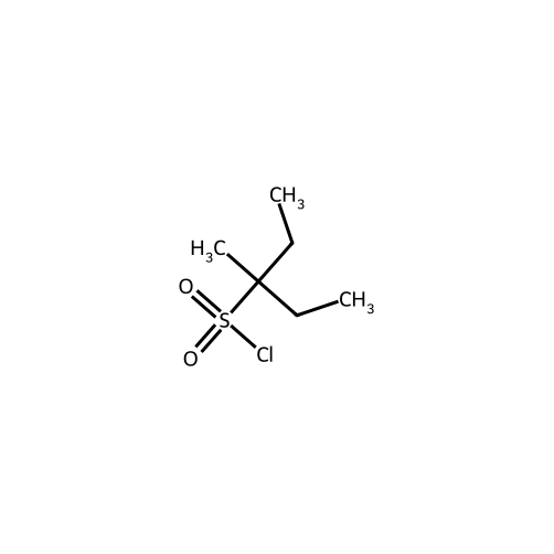 CCC(C)(CC)S(=O)(=O)Cl